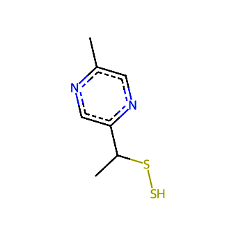 Cc1cnc(C(C)SS)cn1